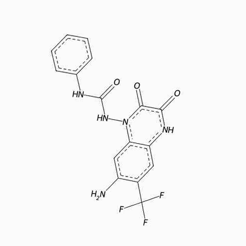 Nc1cc2c(cc1C(F)(F)F)[nH]c(=O)c(=O)n2NC(=O)Nc1ccccc1